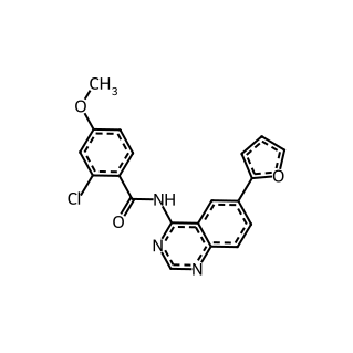 COc1ccc(C(=O)Nc2ncnc3ccc(-c4ccco4)cc23)c(Cl)c1